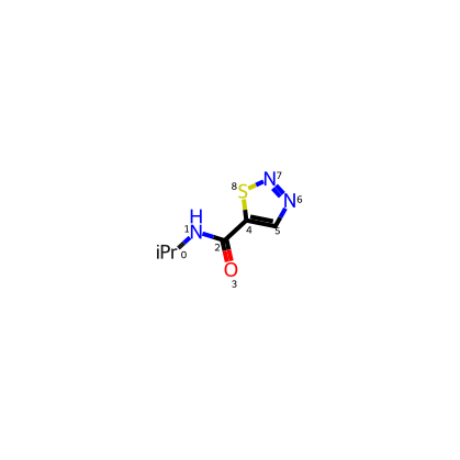 CC(C)NC(=O)c1cnns1